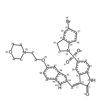 O=C1Nc2ccc(S(=O)(=O)N3CCc4cc(Br)ccc43)cc2/C1=C\c1cc2cc(OCCN3CCOCC3)ccc2[nH]1